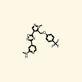 CNc1cc(-c2noc(-c3cnn(C)c3COc3ccc(C(F)(F)F)cc3)n2)ccn1